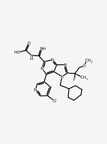 COCC(C)(F)c1nc2nc(C(=N)NC(=O)O)nc(-c3cncc(Cl)c3)c2n1CC1CCCCC1